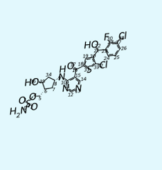 NS(=O)(=O)OC[C@H]1C[C@@H](Nc2ncncc2C(=O)c2cc([C@@H](O)c3cccc(Cl)c3F)c(Cl)s2)C[C@@H]1O